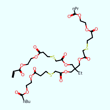 C=CC(=O)OCCOC(=O)CCSCC(=O)OCC(CC)(COC(=O)CSCCC(=O)OCCOC(=O)CCC)COC(=O)CSCCC(=O)OCCOC(=O)CCCC